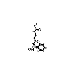 COC(=O)CCCC1CN(N=O)c2ccccc2O1